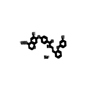 O=C(NCCc1ccccc1Oc1cccc(Cl)c1)c1ccc(Oc2cc3c(cc2Cl)C(C(=O)[O-])CCO3)cc1.[Na+]